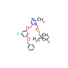 Cc1ncc(COc2cc(F)cc(OCc3ccccc3)c2)n1COCC[Si](C)(C)C